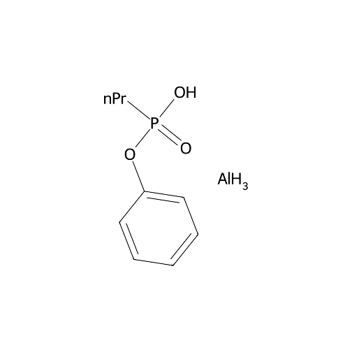 CCCP(=O)(O)Oc1ccccc1.[AlH3]